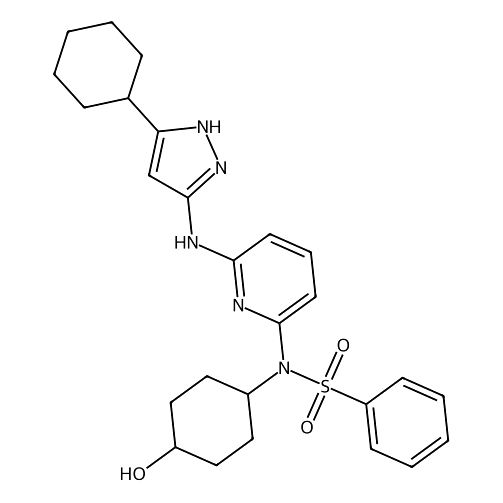 O=S(=O)(c1ccccc1)N(c1cccc(Nc2cc(C3CCCCC3)[nH]n2)n1)C1CCC(O)CC1